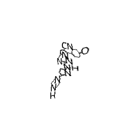 N#Cc1cc2cnc(Nc3ccc(N4CCNCC4)cn3)nn2c1C1=CCC(=O)CC1